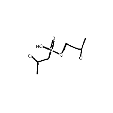 CC(Cl)COP(=O)(O)CC(C)Cl